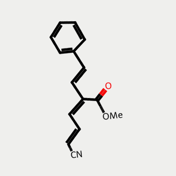 COC(=O)C(C=Cc1ccccc1)=CC=CC#N